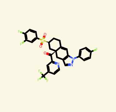 O=C(c1cc(C(F)(F)F)ccn1)[C@]12Cc3cnn(-c4ccc(F)cc4)c3C=C1CC[C@H](S(=O)(=O)c1ccc(F)c(F)c1)C2